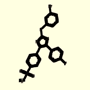 NS(=O)(=O)c1ccc(-c2nc(Sc3cccc(Br)c3)sc2-c2ccc(F)cc2)cc1